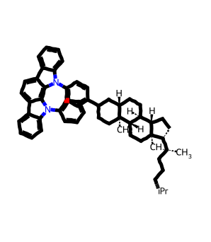 CC(C)CCC[C@@H](C)[C@H]1CC[C@H]2[C@@H]3CC[C@H]4CC(c5ccc(-n6c7ccccc7c7ccc8c9ccccc9n(-c9ccccc9)c8c76)cc5)CC[C@]4(C)[C@H]3CC[C@]12C